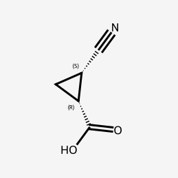 N#C[C@H]1C[C@H]1C(=O)O